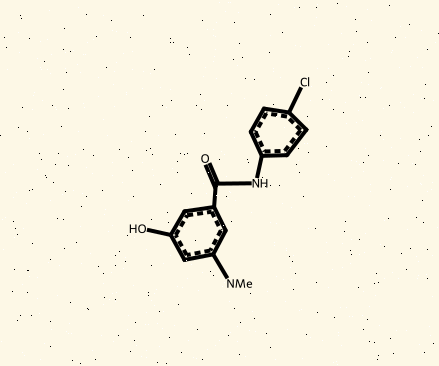 CNc1cc(O)cc(C(=O)Nc2ccc(Cl)cc2)c1